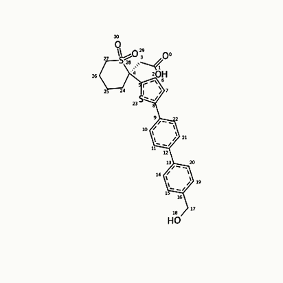 O=C(O)C[C@]1(c2ccc(-c3ccc(-c4ccc(CO)cc4)cc3)s2)CCCCS1(=O)=O